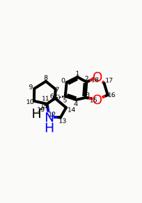 c1cc2c(cc1[C@@]13CCCC[C@@H]1NCC3)OCCO2